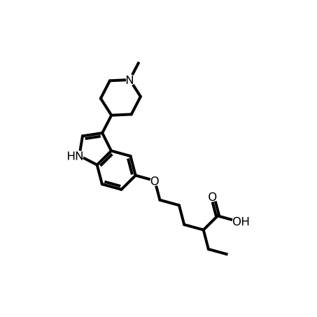 CCC(CCCOc1ccc2[nH]cc(C3CCN(C)CC3)c2c1)C(=O)O